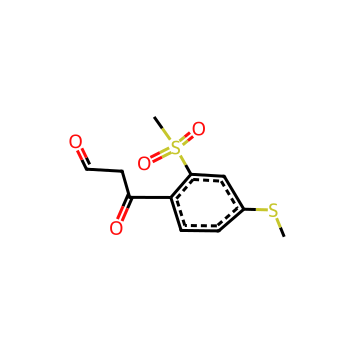 CSc1ccc(C(=O)CC=O)c(S(C)(=O)=O)c1